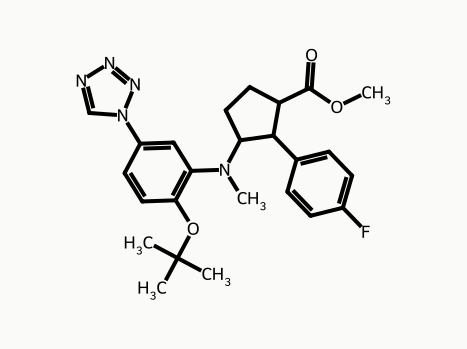 COC(=O)C1CCC(N(C)c2cc(-n3cnnn3)ccc2OC(C)(C)C)C1c1ccc(F)cc1